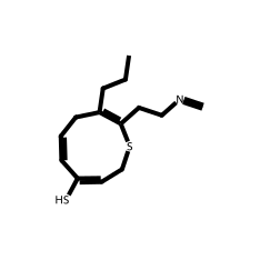 C=NCC/C1=C(\CCC)C/C=C\C(S)=C/CS1